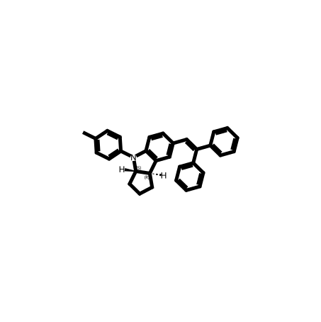 Cc1ccc(N2c3ccc(C=C(c4ccccc4)c4ccccc4)cc3[C@H]3CCC[C@@H]32)cc1